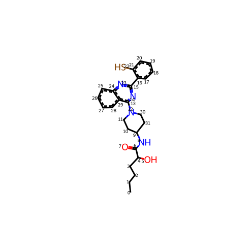 CCCCC(O)C(=O)NC1CCN(c2nc(-c3ccccc3S)nc3ccccc23)CC1